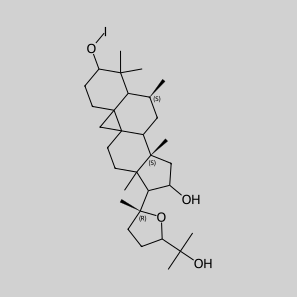 C[C@H]1CC2C3(CCC4(C)C([C@@]5(C)CCC(C(C)(C)O)O5)C(O)C[C@@]24C)CC32CCC(OI)C(C)(C)C12